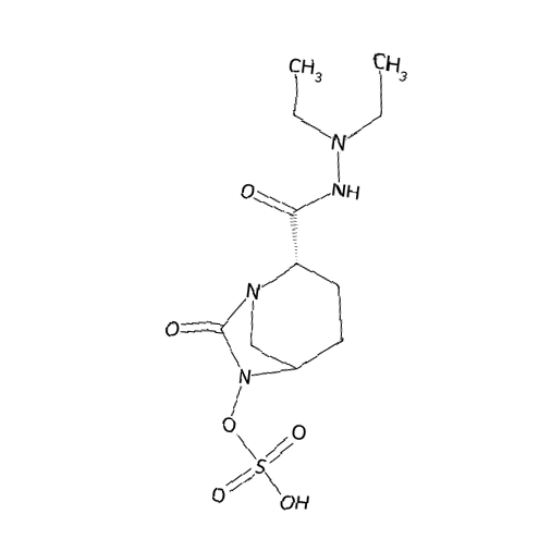 CCN(CC)NC(=O)[C@@H]1CCC2CN1C(=O)N2OS(=O)(=O)O